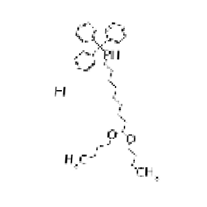 CCCCOC(CCCCCCCCPC(c1ccccc1)(c1ccccc1)c1ccccc1)OCCCC.I